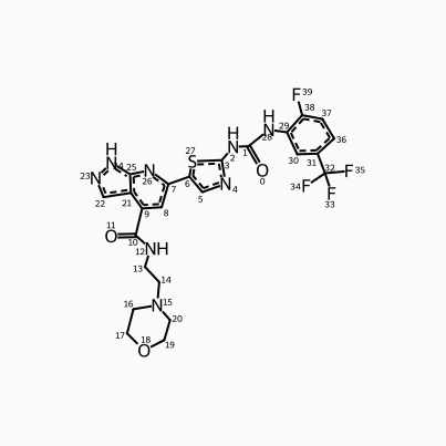 O=C(Nc1ncc(-c2cc(C(=O)NCCN3CCOCC3)c3cn[nH]c3n2)s1)Nc1cc(C(F)(F)F)ccc1F